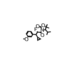 COc1cccc(C(C2CC2)C(F)C(=O)N2C(=O)OC(C)(C)C2C(C)C)c1